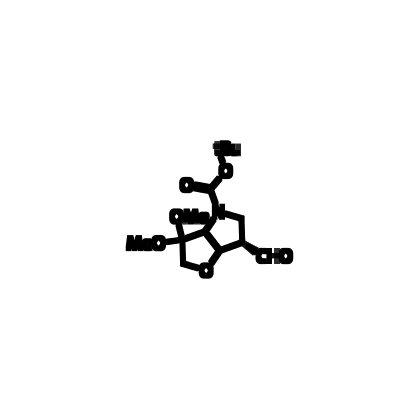 COC1(OC)COC2C1N(C(=O)OC(C)(C)C)C[C@H]2C=O